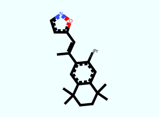 C/C(=C\c1ccno1)c1cc2c(cc1C(C)C)C(C)(C)CCC2(C)C